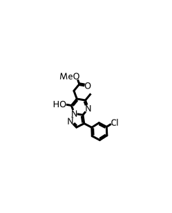 COC(=O)Cc1c(C)nc2c(-c3cccc(Cl)c3)cnn2c1O